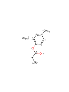 CCC[C@@H](C)c1cc(OC)ccc1OC(=O)CC(C)C